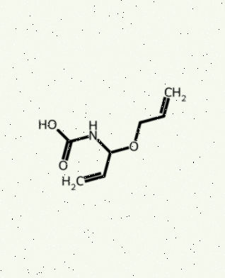 C=CCOC(C=C)NC(=O)O